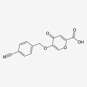 N#Cc1ccc(COc2coc(C(=O)O)cc2=O)cc1